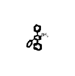 Bc1cc(-c2ccccc2)c(-c2ccccc2)cc1-c1ccccc1